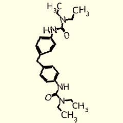 CCN(CC)C(=O)Nc1ccc(Cc2ccc(NC(=O)N(CC)CC)cc2)cc1